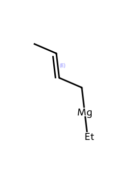 C/C=C/[CH2][Mg][CH2]C